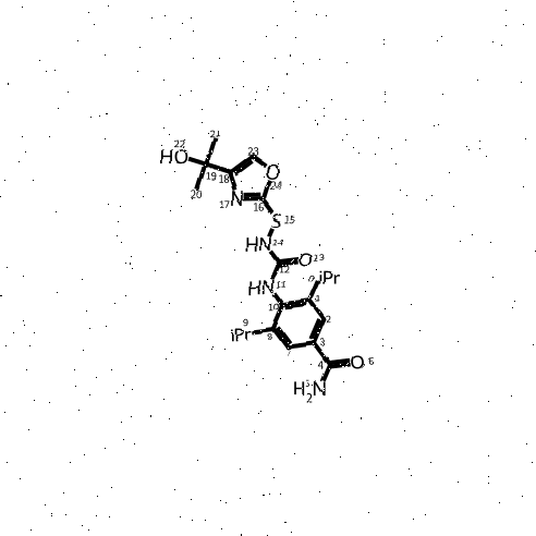 CC(C)c1cc(C(N)=O)cc(C(C)C)c1NC(=O)NSc1nc(C(C)(C)O)co1